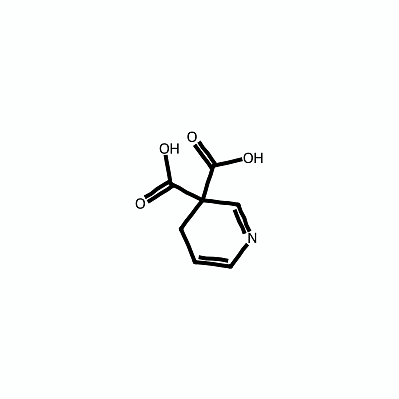 O=C(O)C1(C(=O)O)C=NC=CC1